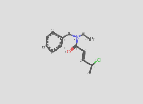 CC(Cl)C=CC(=O)N(Cc1ccccc1)CC(C)C